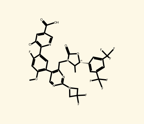 COc1cc(F)c(-c2ncc(C(=O)O)cc2Cl)cc1-c1cnc(N2CC(F)(F)C2)nc1CN1C(=O)O[C@H](c2cc(C(F)(F)F)cc(C(F)(F)F)c2)C1C